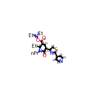 CCCn1c(CC)c(C(=O)ON(CC)CC)cc(-c2csc(-c3ccncc3)n2)c1=O